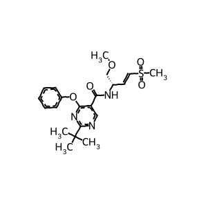 COC[C@H](/C=C/S(C)(=O)=O)NC(=O)c1cnc(C(C)(C)C)nc1Oc1ccccc1